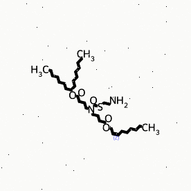 CCCCCC/C=C\COC(=O)CCCN(CCCC(=O)OC(CCCCCCC)CCCCCCCC)C(=O)SCCN